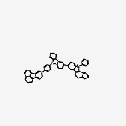 c1ccc(-n2c3ccc(-c4ccc5c(c4)c4ccccc4n5-c4ccc(-c5ccc6c(c5)-c5cccc7cccc-6c57)cc4)cc3c3ccc4ccccc4c32)cc1